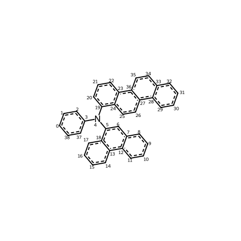 c1ccc(N(c2cc3ccccc3c3ccccc23)c2cccc3c2ccc2c4ccccc4ccc32)cc1